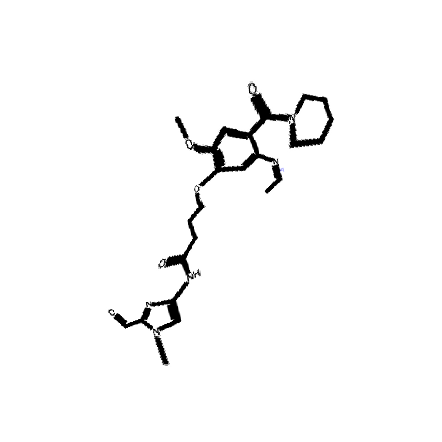 C/C=N\c1cc(OCCCC(=O)Nc2cn(C)c(C=O)n2)c(OC)cc1C(=O)N1CCCCC1